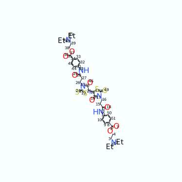 CCN(CC)CCOC(=O)c1ccc(NC(=O)CCN2C(=O)/C(=C3\SC(=S)N(CCC(=O)Nc4ccc(C(=O)OCCN(CC)CC)cc4)C3=O)SC2=S)cc1